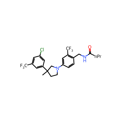 CCCC(=O)NCc1ccc(N2CCC(C)(c3cc(Cl)cc(C(F)(F)F)c3)C2)cc1C(F)(F)F